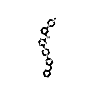 CN1CCN(c2cccc(Nc3ncnc(N4CCN(c5ncc(Cc6ccccc6)cn5)CC4)n3)c2)CC1